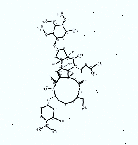 CC[C@H]1CCC[C@H](O[C@H]2CC[C@H](N(C)C)C(C)O2)[C@@H](C)C(=O)C2=C[C@H]3[C@@H]4C[C@H](O[C@@H]5OC(C)[C@H](OC)C(OC)C5OC)C[C@H]4[C@@H](O)[C@H](NCC(C)C)[C@H]3[C@@H]2CC(=O)O1